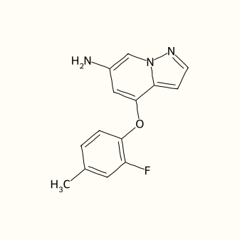 Cc1ccc(Oc2cc(N)cn3nccc23)c(F)c1